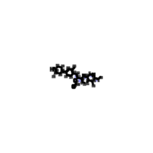 C\C=C(C)/N=C\C(=N\C(=C/C)C(=C\c1ccc(N2CCN[C@@H](C)C2)cc1C)\OC=O)C(C)CC